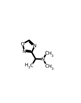 CC(c1ncon1)N(C)C